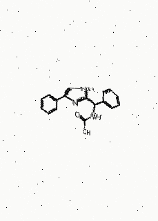 O=C(O)NC(c1ccccc1)c1nc(-c2ccccc2)c[nH]1